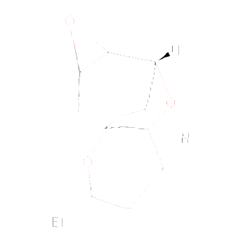 CC[C@H]1CC[C@@H]2O[C@@H]3C[C@]2(CC2OC23)O1